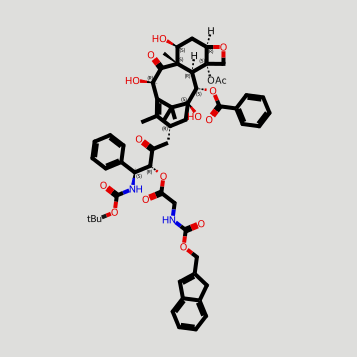 CC(=O)O[C@@]12CO[C@@H]1C[C@H](O)[C@@]1(C)C(=O)[C@H](O)C3=C(C)[C@@H](CC(=O)[C@H](OC(=O)CNC(=O)OCC4=Cc5ccccc5C4)[C@@H](NC(=O)OC(C)(C)C)c4ccccc4)C[C@@](O)([C@@H](OC(=O)c4ccccc4)[C@H]21)C3(C)C